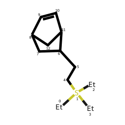 CCS(CC)(CC)CCC1CC2C=CC1C2